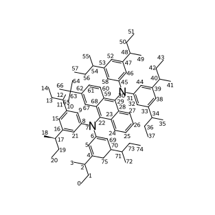 CCC(C)C1=CC(N(c2cc(C(C)CC)cc([C@H](C)CC)c2)c2c3ccccc3c(N(c3cc(C(C)CC)cc(C(C)CC)c3)c3cc(C(C)CC)cc(C(C)CC)c3)c3ccc(C(C)(C)C)cc23)=CC(C(C)CC)C1